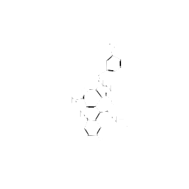 CC(=O)c1cccc(Cn2nc(C(F)(F)F)c(-c3c(C(N)=O)nc4cc(F)c(Cl)cc4c3C(N)=O)c2C)c1